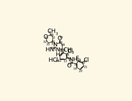 C[C@@H]1C[C@H](N2C(=N)N[C@](C)(c3cccc(NC(=O)c4cccc(Cl)c4F)c3Cl)CC2=O)CCO1.Cl